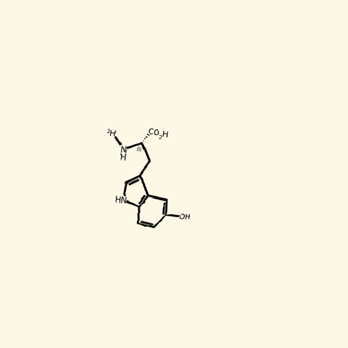 [2H]N[C@@H](Cc1c[nH]c2ccc(O)cc12)C(=O)O